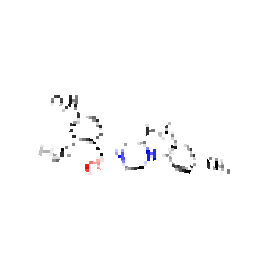 Cc1ccc(N2CCN(C(=O)c3ccc([N+](=O)[O-])cc3C)CC2)c(C)c1